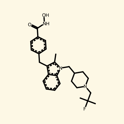 Cc1c(Cc2ccc(C(=O)NO)cc2)c2ccccc2n1CC1CCN(CC(C)(C)F)CC1